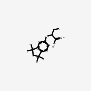 CCC(Oc1ccc2c(c1)C(C)(C)CC2(C)C)C(=O)Cl